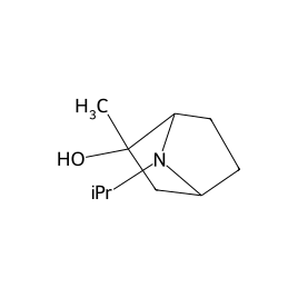 CC(C)N1C2CCC1C(C)(O)C2